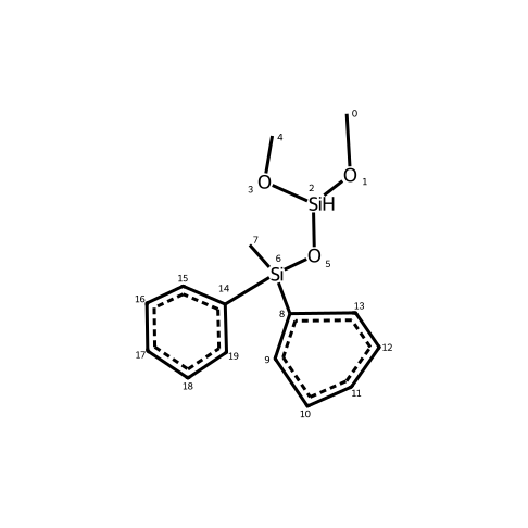 CO[SiH](OC)O[Si](C)(c1ccccc1)c1ccccc1